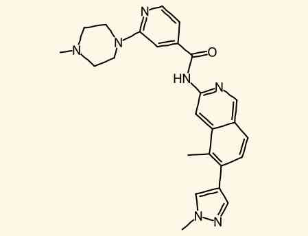 Cc1c(-c2cnn(C)c2)ccc2cnc(NC(=O)c3ccnc(N4CCN(C)CC4)c3)cc12